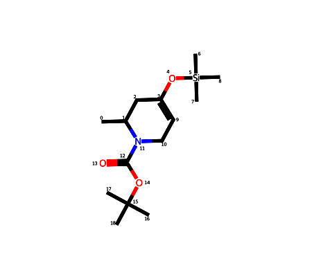 CC1CC(O[Si](C)(C)C)=CCN1C(=O)OC(C)(C)C